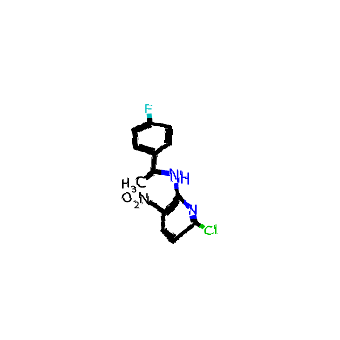 CC(Nc1nc(Cl)ccc1[N+](=O)[O-])c1ccc(F)cc1